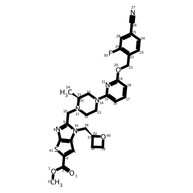 COC(=O)c1cc2c(nc(CN3CCN(c4cccc(OCc5ccc(C#N)cc5F)n4)C[C@@H]3C)n2C[C@@H]2CCO2)s1